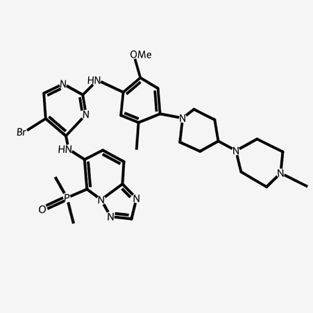 COc1cc(N2CCC(N3CCN(C)CC3)CC2)c(C)cc1Nc1ncc(Br)c(Nc2ccc3ncnn3c2P(C)(C)=O)n1